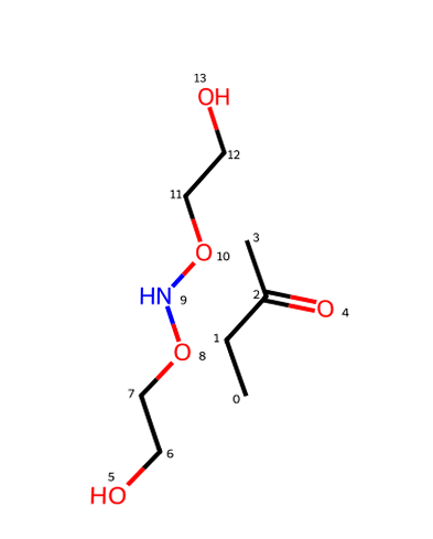 CCC(C)=O.OCCONOCCO